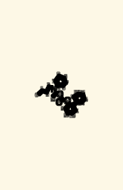 CCCCN(c1ccccc1)C(C)OC(=O)Oc1ccccc1-c1ccccc1